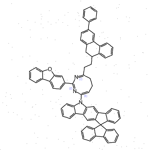 C1=C(n2c3ccccc3c3cc4c(cc32)-c2ccccc2C42c3ccccc3-c3ccccc32)/N=C(c2ccc3c(c2)oc2ccccc23)\N=C(\CCC2Cc3ccc(-c4ccccc4)cc3-c3ccccc32)CC\1